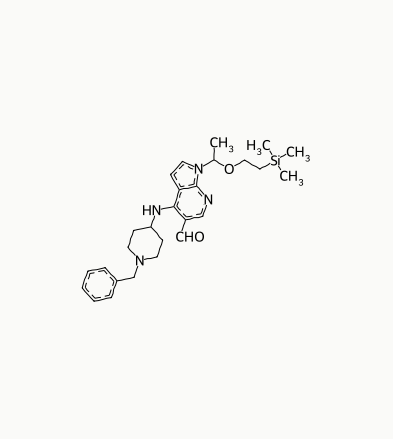 CC(OCC[Si](C)(C)C)n1ccc2c(NC3CCN(Cc4ccccc4)CC3)c(C=O)cnc21